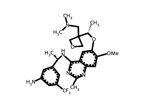 COc1cc2nc(C)nc(N[C@H](C)c3cc(N)cc(C(F)(F)F)c3)c2cc1O[C@@H](C)C1(CN(C)C)COC1